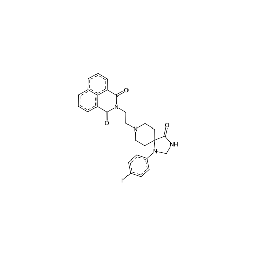 O=C1c2cccc3cccc(c23)C(=O)N1CCN1CCC2(CC1)C(=O)NCN2c1ccc(I)cc1